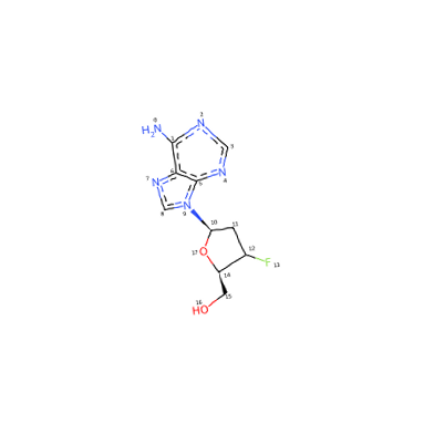 Nc1ncnc2c1ncn2[C@H]1CC(F)[C@@H](CO)O1